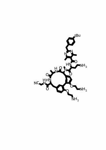 Cc1nc(Cc2ccc(C(C)(C)C)cc2)nc(C)c1C(=O)NC(CCN)C(=O)N(C)C1C(=O)NC(C)C(=O)NC(C(=O)NCC#N)Cc2ccc(OCCN)c(c2)-c2cc1ccc2OCCN